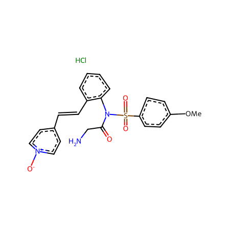 COc1ccc(S(=O)(=O)N(C(=O)CN)c2ccccc2C=Cc2cc[n+]([O-])cc2)cc1.Cl